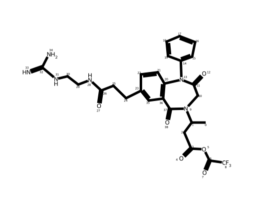 CC(CC(=O)OC(=O)C(F)(F)F)N1CC(=O)N(c2ccccc2)c2ccc(CCC(=O)NCCNC(=N)N)cc2C1=O